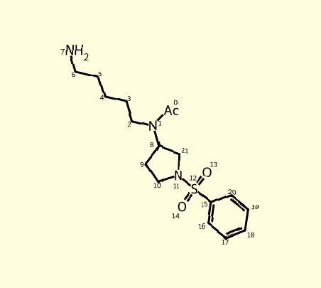 CC(=O)N(CCCCCN)C1C[CH]N(S(=O)(=O)c2ccccc2)C1